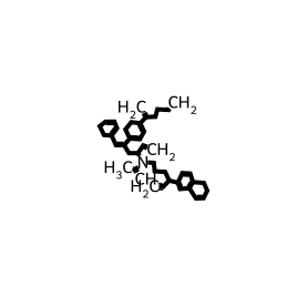 C=CCCC(=C)C1=CC=C(/C(=C\C2=CC=CCC2)CC(C=C)N(CCCC(C=C)c2ccc3c(c2)C=CCC3)C(=C)C)CC1